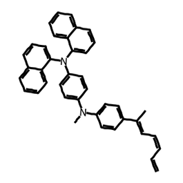 C=C/C=C\C=C(/C)c1ccc(N(C)c2ccc(N(c3cccc4ccccc34)c3cccc4ccccc34)cc2)cc1